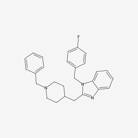 Fc1ccc(Cn2c(CC3CCN(Cc4ccccc4)CC3)nc3ccccc32)cc1